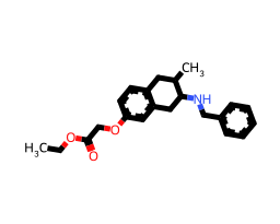 CCOC(=O)COc1ccc2c(c1)CC(NCc1ccccc1)C(C)C2